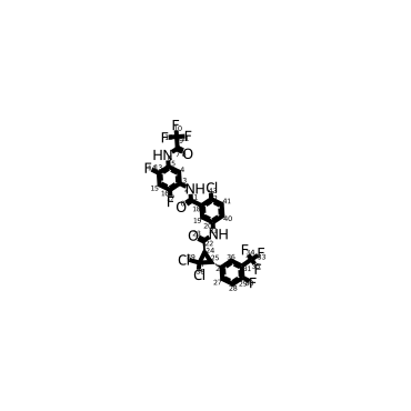 O=C(Nc1cc(NC(=O)C(F)(F)F)c(F)cc1F)c1cc(NC(=O)[C@H]2[C@H](c3ccc(F)c(C(F)(F)F)c3)C2(Cl)Cl)ccc1Cl